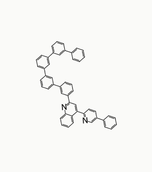 c1ccc(-c2ccc(-c3cc(-c4cccc(-c5cccc(-c6cccc(-c7cccc(-c8ccccc8)c7)c6)c5)c4)nc4ccccc34)nc2)cc1